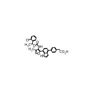 Cc1noc(-c2ccc(-c3ccc(CC(=O)O)cc3)c3cc[nH]c23)c1NC(=O)OC(C)c1ccccc1Cl